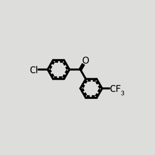 O=C(c1ccc(Cl)cc1)c1cccc(C(F)(F)F)c1